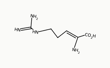 N=C(N)NCCC=C(N)C(=O)O